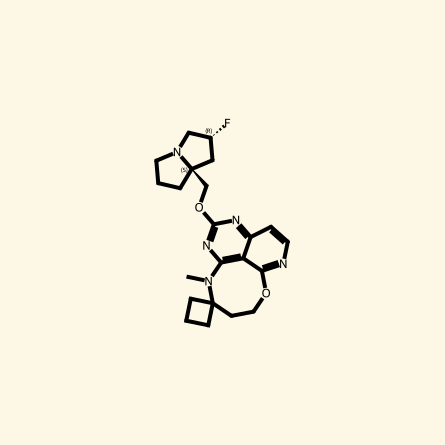 CN1c2nc(OC[C@@]34CCCN3C[C@H](F)C4)nc3ccnc(c23)OCCC12CCC2